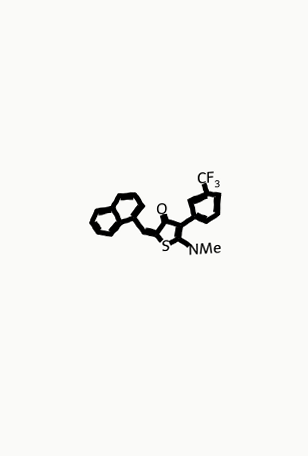 CNC1=C(c2cccc(C(F)(F)F)c2)C(=O)C(=Cc2cccc3ccccc23)S1